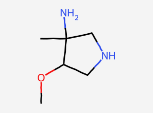 COC1CNCC1(C)N